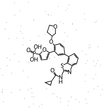 O=C(Nc1nc2cccc(-c3ccc(OC4CCOC4)c(-c4ccc(P(=O)(O)O)o4)c3)c2s1)C1CC1